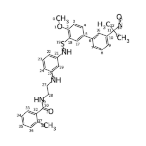 COc1ccc(-c2cccc(C(C)(C)N=O)c2)cc1SNc1cccc(NCCNC(=O)c2ccccc2C)c1